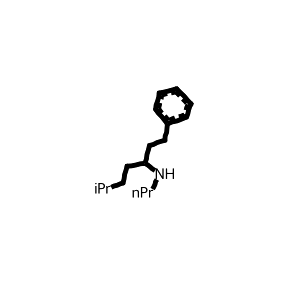 [CH2]CCNC(CCc1ccccc1)CCC(C)C